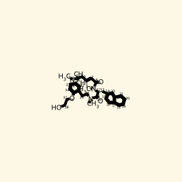 CNC(C)(C)C/C=C/C(=O)N(C)[C@H](Cc1ccc2ccccc2c1)C(=O)N(C)CCc1ccccc1OCCO